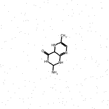 CC1=CN=C2NC(N)NC(=O)C2N1